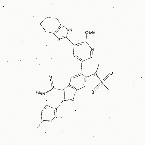 CNC(=O)c1c(-c2ccc(F)cc2)oc2cc(N(C)S(C)(=O)=O)c(-c3cnc(OC)c(-c4nc5c([nH]4)CCCC5)c3)cc12